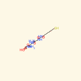 N[C@@H](CCCCNC(=O)CCCNC(=O)CCCCCCCCCCCCCCCS)C(=O)NCCCC[C@H](N)C(=O)NCCOCCO